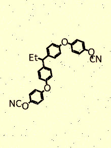 CCC(c1ccc(Oc2ccc(OC#N)cc2)cc1)c1ccc(Oc2ccc(OC#N)cc2)cc1